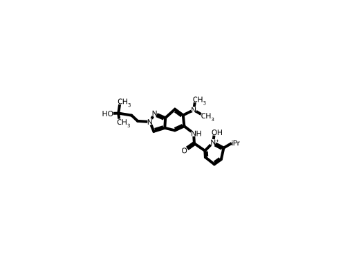 CC(C)c1cccc(C(=O)Nc2cc3cn(CCC(C)(C)O)nc3cc2N(C)C)[n+]1O